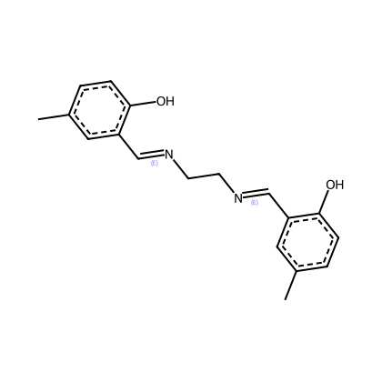 Cc1ccc(O)c(/C=N/CC/N=C/c2cc(C)ccc2O)c1